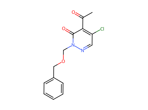 CC(=O)c1c(Cl)cnn(COCc2ccccc2)c1=O